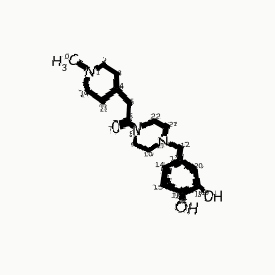 CN1CCC(CC(=O)N2CCN(Cc3ccc(O)c(O)c3)CC2)CC1